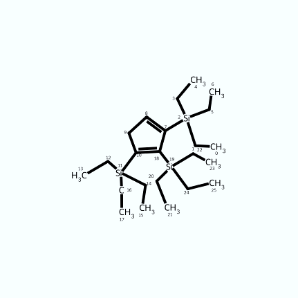 CC[Si](CC)(CC)C1=[C]CC([Si](CC)(CC)CC)=C1[Si](CC)(CC)CC